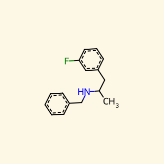 CC(Cc1cccc(F)c1)NCc1ccccc1